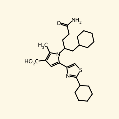 Cc1c(C(=O)O)cc(-c2csc(C3CCCCC3)n2)n1C(CCC(N)=O)CC1CCCCC1